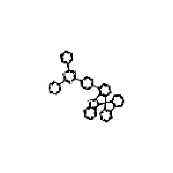 c1ccc(-c2nc(-c3ccccc3)nc(-c3ccc(-c4cccc5c4-c4oc6ccccc6c4C54c5ccccc5-c5ccccc54)cc3)n2)cc1